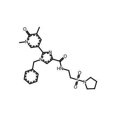 Cc1cc(-c2nc(C(=O)NCCS(=O)(=O)N3CCCC3)cn2Cc2ccccc2)cn(C)c1=O